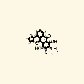 Cc1c(C)c(O)c2c(c1O)C(=O)c1cccc(-c3cccs3)c1C2=O